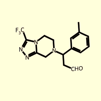 Cc1cccc(C(CC=O)N2CCn3c(nnc3C(F)(F)F)C2)c1